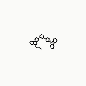 C/C=C\C=C/c1cc2cc(C3=CC(c4ccc(-n5c6ccccc6c6ccccc65)cc4)=CCC3)ccc2c2ccccc12